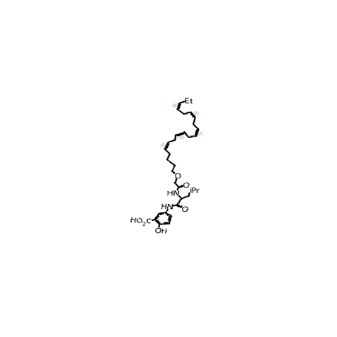 CC/C=C\C/C=C\C/C=C\C/C=C\C/C=C\CCCCOCC(=O)NC(CC(C)C)C(=O)Nc1ccc(O)c(C(=O)O)c1